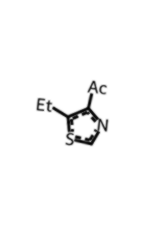 CCc1scnc1C(C)=O